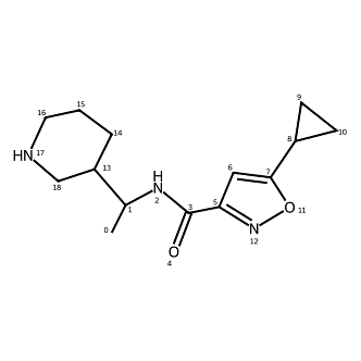 CC(NC(=O)c1cc(C2CC2)on1)C1CCCNC1